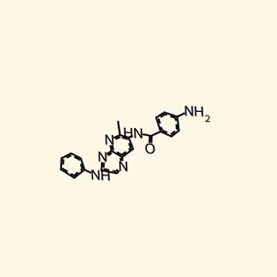 Cc1nc2nc(Nc3ccccc3)cnc2cc1NC(=O)c1ccc(N)cc1